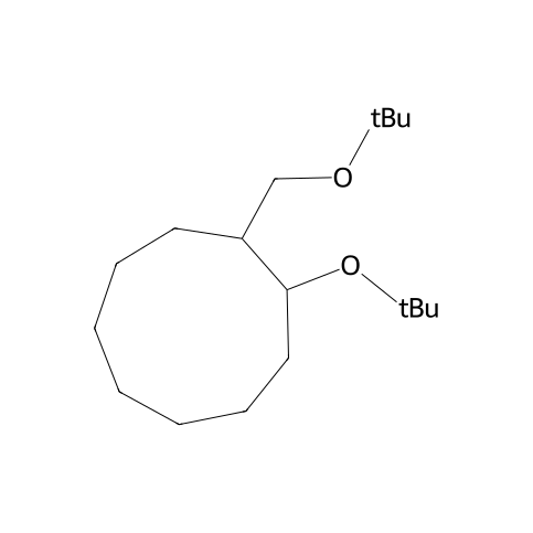 CC(C)(C)OCC1CCCCCCCC1OC(C)(C)C